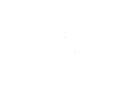 CCC(CC)COC(=O)OC[C@H]1O[C@@](C#N)(c2ccc3c(N=CN(C)C)ncnn23)[C@@H]2OC(C)(C)O[C@@H]21